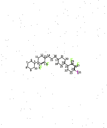 FC1=C(F)C(C2CCCCC2)CCC1CCCC1CCC(C2CCC(I)C(F)C2F)CC1